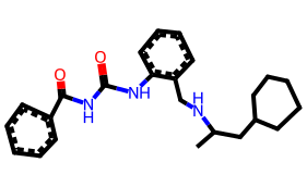 CC(CC1CCCCC1)NCc1ccccc1NC(=O)NC(=O)c1ccccc1